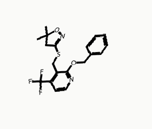 CC1(C)CC(SCc2c(C(F)(F)F)ccnc2OCc2ccccc2)=NO1